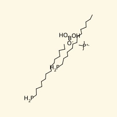 CCCCCCCCCCCCCCP.CCCCCCCCCCCCCCP.C[P+](C)(C)C.[O-]B(O)O